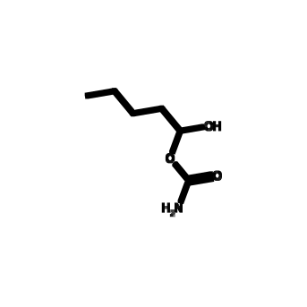 CCCCC(O)OC(N)=O